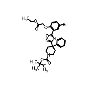 CCOC(=O)COc1ccc(Br)cc1-c1nc(C2(c3ccccc3)CCN(C(=O)OC(C)(C)C)CC2)no1